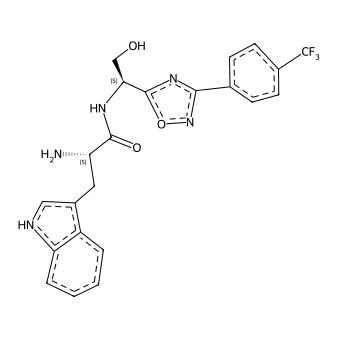 N[C@@H](Cc1c[nH]c2ccccc12)C(=O)N[C@@H](CO)c1nc(-c2ccc(C(F)(F)F)cc2)no1